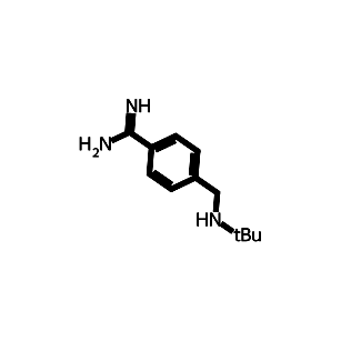 CC(C)(C)NCc1ccc(C(=N)N)cc1